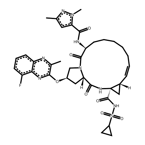 Cc1cc(C(=O)N[C@H]2CCCCCC=C[C@@H]3C[C@@]3(C(=O)NS(=O)(=O)C3CC3)NC(=O)[C@@H]3C[C@@H](Oc4nc5c(F)cccc5nc4C)CN3C2=O)n(C)n1